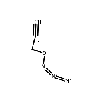 C#CCON=[N+]=[N-]